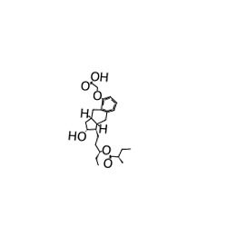 CC[C@@H](CC[C@@H]1[C@H]2Cc3cccc(OCC(=O)O)c3C[C@H]2C[C@H]1O)OC(=O)[C@H](C)CC